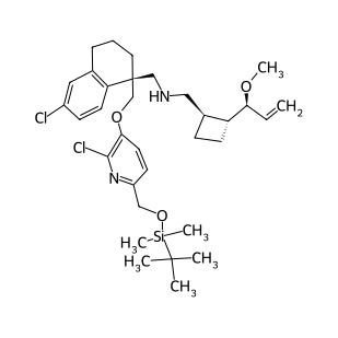 C=C[C@H](OC)[C@@H]1CC[C@H]1CNC[C@]1(COc2ccc(CO[Si](C)(C)C(C)(C)C)nc2Cl)CCCc2cc(Cl)ccc21